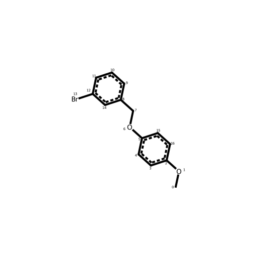 COc1ccc(OCc2cccc(Br)c2)cc1